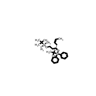 C/C=C\C[C@@H](CCO[Si](C)(C)C(C)(C)C)O[Si](c1ccccc1)(c1ccccc1)C(C)(C)C